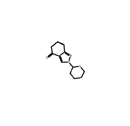 O=C1CCCc2nn(C3CCCCO3)cc21